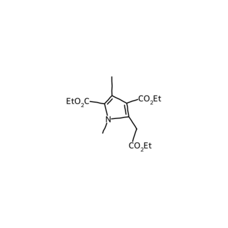 CCOC(=O)Cc1c(C(=O)OCC)c(C)c(C(=O)OCC)n1C